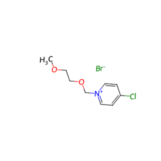 COCCOC[n+]1ccc(Cl)cc1.[Br-]